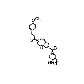 O=C(/C=C/c1ccc(OC(F)(F)F)cc1)N1CC=C2CN(C(=O)N3CCc4[nH]nnc4C3)C[C@H]2CC1